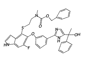 CN(CCSc1c(Oc2cccc(-c3ncc(C(C)(O)c4ccccc4)[nH]3)c2)c(F)cc2[nH]ccc12)C(=O)OCc1ccccc1